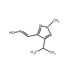 CC(C)c1cn(C)nc1C=NO